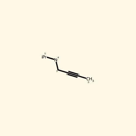 CC#CC[N]C(C)C